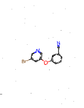 N#Cc1cccc(Oc2cncc(Br)c2)c1